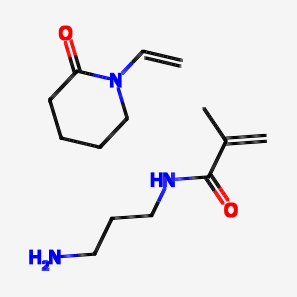 C=C(C)C(=O)NCCCN.C=CN1CCCCC1=O